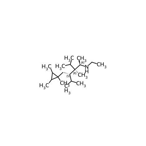 CCN[C@H](C)[C@](C)(C(C)C)[C@@H](CC1(C)C(C)C1C)C(C)C